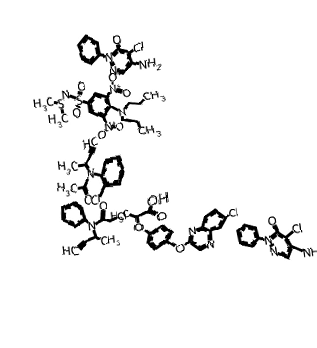 C#CC(C)N(C(=O)CCl)c1ccccc1.C#CC(C)N(C(C)=O)c1ccccc1Cl.CC(Oc1ccc(Oc2cnc3cc(Cl)ccc3n2)cc1)C(=O)O.CCCN(CCC)c1c([N+](=O)[O-])cc(S(=O)(=O)N=S(C)C)cc1[N+](=O)[O-].Nc1cnn(-c2ccccc2)c(=O)c1Cl.Nc1cnn(-c2ccccc2)c(=O)c1Cl